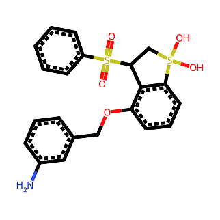 Nc1cccc(COc2cccc3c2C(S(=O)(=O)c2ccccc2)CS3(O)O)c1